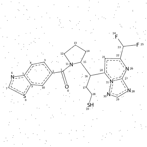 O=C(c1ccc2ncsc2c1)N1CCCC1C(CCS)c1cc(C(F)F)nc2ncnn12